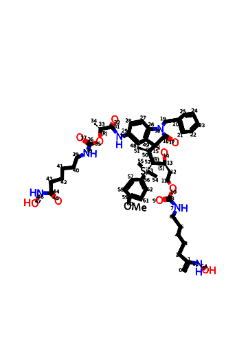 C=C(CCCCCNC(=O)OCC[C@@H]1O[C@]2(C(=O)N(Cc3ccccc3)c3ccc(NC(=O)[C@@H](C)OC(=O)NCCCCCC(=O)NO)cc32)[C@H](C)[C@H]1[Si](C)(C)c1ccc(OC)cc1)NO